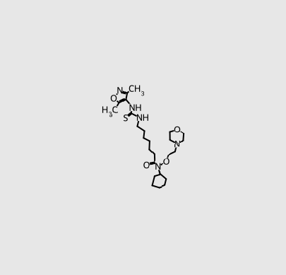 Cc1noc(C)c1NC(=S)NCCCCCCC(=O)N(OCCN1CCOCC1)C1CCCCC1